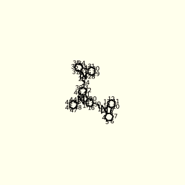 C(=C\n1c2ccccc2c2ccccc21)/c1ccc2c(c1)c1cc(/C=C/n3c4ccccc4c4ccccc43)ccc1n2-c1ccccc1